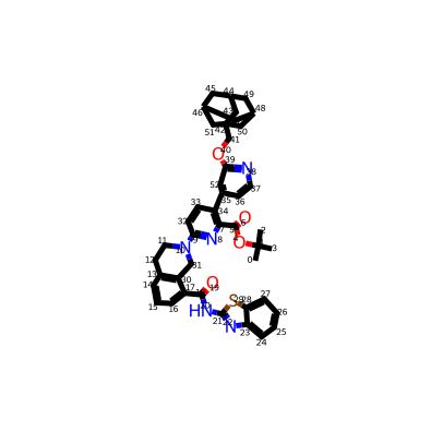 CC(C)(C)OC(=O)c1nc(N2CCc3cccc(C(=O)Nc4nc5ccccc5s4)c3C2)ccc1-c1ccnc(OCC23CC4CC(CC(C4)C2)C3)c1